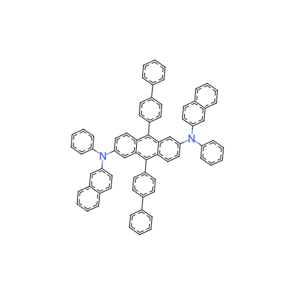 c1ccc(-c2ccc(-c3c4ccc(N(c5ccccc5)c5ccc6ccccc6c5)cc4c(-c4ccc(-c5ccccc5)cc4)c4ccc(N(c5ccccc5)c5ccc6ccccc6c5)cc34)cc2)cc1